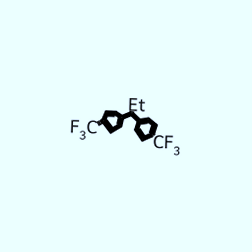 [CH2]CC(c1ccc(C(F)(F)F)cc1)c1ccc(C(F)(F)F)cc1